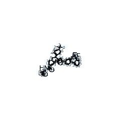 CC(C)(C)c1ccc(C(Cc2ccc(C(=O)NCCS(C)(=O)=O)cc2)c2cc(-c3ccc(-c4ccccc4C(F)(F)F)cc3)on2)cc1